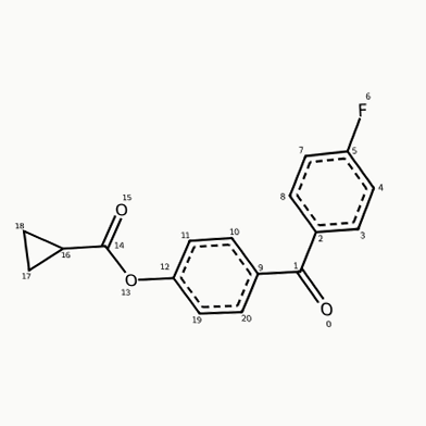 O=C(c1ccc(F)cc1)c1ccc(OC(=O)C2CC2)cc1